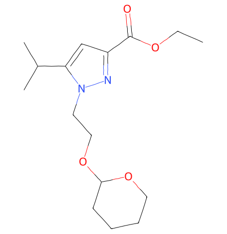 CCOC(=O)c1cc(C(C)C)n(CCOC2CCCCO2)n1